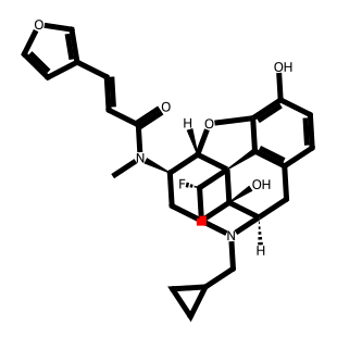 CN(C(=O)/C=C/c1ccoc1)[C@@H]1CC[C@@]2(O)[C@H]3Cc4ccc(O)c5c4[C@@]2([C@@H](F)CN3CC2CC2)[C@H]1O5